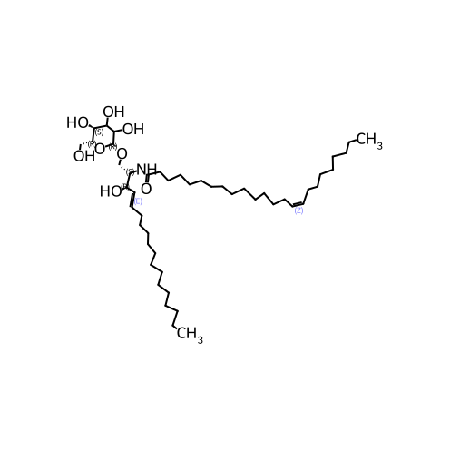 CCCCCCCC/C=C\CCCCCCCCCCCCCC(=O)N[C@@H](CO[C@@H]1O[C@H](CO)[C@@H](O)C(O)C1O)[C@H](O)/C=C/CCCCCCCCCCCCC